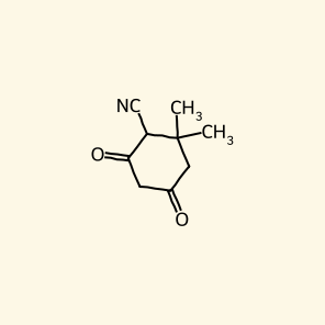 CC1(C)CC(=O)CC(=O)C1C#N